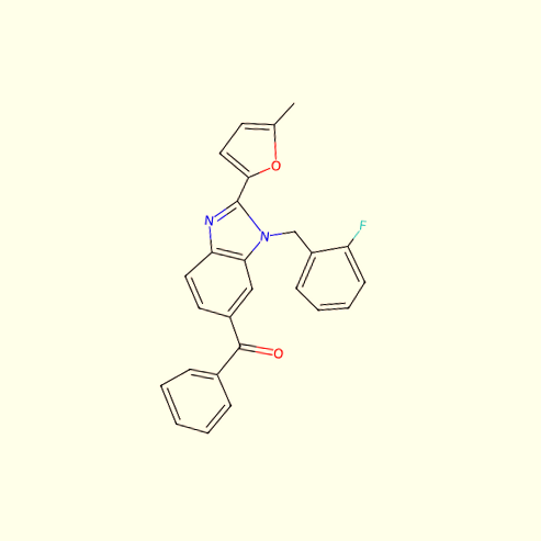 Cc1ccc(-c2nc3ccc(C(=O)c4ccccc4)cc3n2Cc2ccccc2F)o1